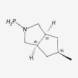 C[C@@H]1C[C@@H]2CN(P)C[C@@H]2C1